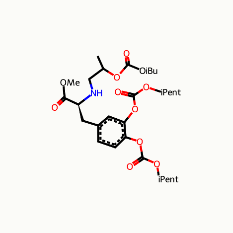 CCCC(C)OC(=O)Oc1ccc(C[C@H](NCC(C)OC(=O)OCC(C)C)C(=O)OC)cc1OC(=O)OC(C)CCC